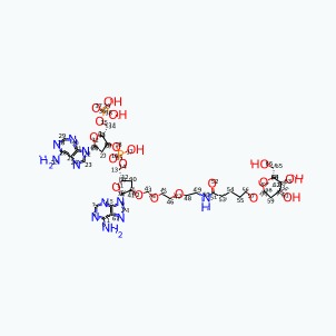 Nc1ncnc2c1ncn2[C@@H]1O[C@H](COP(=O)(O)O[C@H]2C[C@H](n3cnc4c(N)ncnc43)O[C@@H]2COP(=O)(O)O)C[C@H]1OCOCCOCCNC(=O)CCCCO[C@H]1C[C@@H](O)[C@@H](O)[C@@H](CO)O1